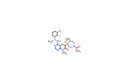 COC1(c2cc3c(N[C@H](C)c4cccc(C(F)F)c4F)ncnc3n(C)c2=O)CCCN(C(C)=O)CC1